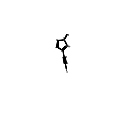 Cn1ccc(C#CI)n1